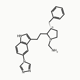 NCN1CC[C@@H](Cc2ccccc2)C1CCc1c[nH]c2ccc(-n3cnnc3)cc12